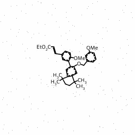 CCOC(=O)C=Cc1ccc(OC)c(-c2cc3c(cc2OCc2cccc(OC)c2)C(C)(C)CCC3(C)C)c1